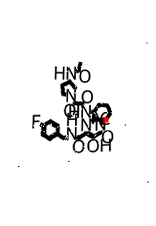 CC(=O)N[C@@H]1CCN(C(=O)C(=O)NC23CCC(CC2)Cn2c3nc(C(=O)NCc3ccc(F)cc3)c(O)c2=O)C1